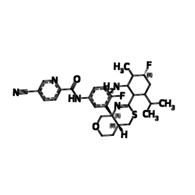 CC(C)C1C[C@@H](F)C(C)C(N)C1C1=N[C@@]2(c3cc(NC(=O)c4ccc(C#N)cn4)ccc3F)COCC[C@H]2CS1